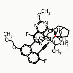 COCOc1cc(-c2nc(C)c3c(N4CC5CCC(C5)C4)nc(SC)nc3c2F)c2c(C#C[Si](C(C)C)(C(C)C)C(C)C)c(F)ccc2c1